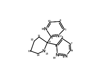 c1cnc(C2(c3cccnn3)CCCC[N]2)nc1